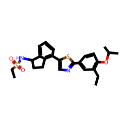 CCc1cc(-c2ncc(-c3cccc4c3CCC4NS(=O)(=O)CC)s2)ccc1OC(C)C